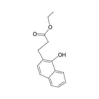 CCOC(=O)CCc1ccc2ccccc2c1O